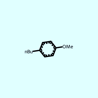 CCCCc1c[c]c(OC)cc1